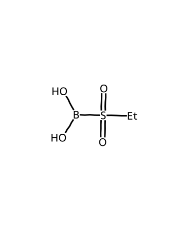 CCS(=O)(=O)B(O)O